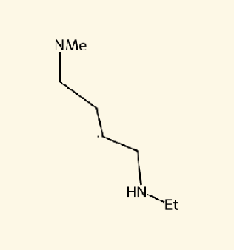 CCNC[CH]CCNC